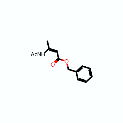 CC(=O)N/C(C)=C\C(=O)OCc1ccccc1